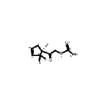 CCC(C)C(=O)OCC(=O)[C@]1(C)CC=CC1(C)C